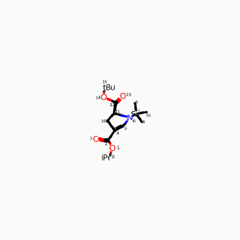 CC(C)OC(=O)C1=CN([Si](C)(C)C)C(C(=O)OC(C)(C)C)C1